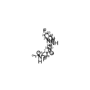 C=CC(=O)Nc1ccc(C(=O)N2CC[C@H](Nc3ncc4cc(F)ccc4n3)C2)cc1F